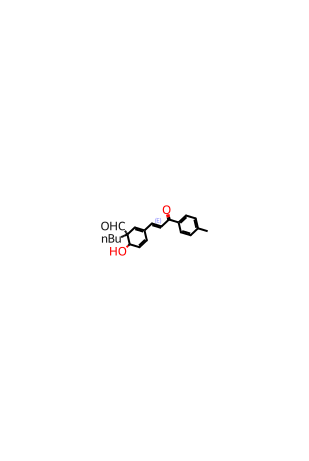 CCCCC1(C=O)C=C(/C=C/C(=O)c2ccc(C)cc2)C=CC1O